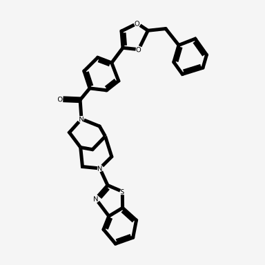 O=C(c1ccc(C2=COC(Cc3ccccc3)O2)cc1)N1CC2CC(C1)CN(c1nc3ccccc3s1)C2